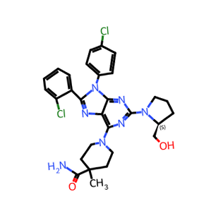 CC1(C(N)=O)CCN(c2nc(N3CCC[C@H]3CO)nc3c2nc(-c2ccccc2Cl)n3-c2ccc(Cl)cc2)CC1